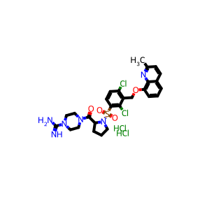 Cc1ccc2cccc(OCc3c(Cl)ccc(S(=O)(=O)N4CCCC4C(=O)N4CCN(C(=N)N)CC4)c3Cl)c2n1.Cl.Cl